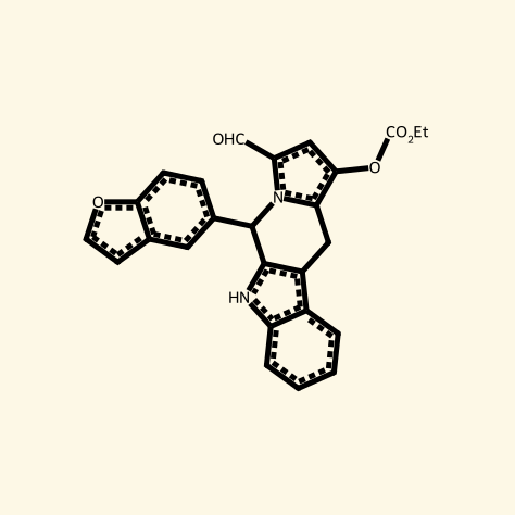 CCOC(=O)Oc1cc(C=O)n2c1Cc1c([nH]c3ccccc13)C2c1ccc2occc2c1